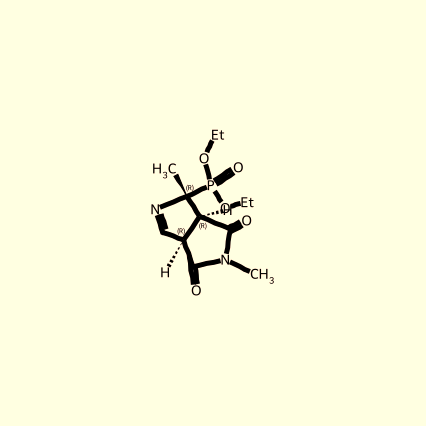 CCOP(=O)(OCC)[C@@]1(C)N=C[C@@H]2C(=O)N(C)C(=O)[C@@H]21